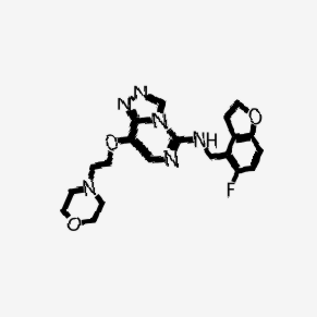 Fc1ccc2c(c1CNc1ncc(OCCN3CCOCC3)c3nncn13)CCO2